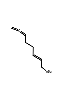 C=C=CCCC=CCCCCC